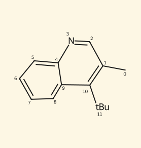 Cc1cnc2ccccc2c1C(C)(C)C